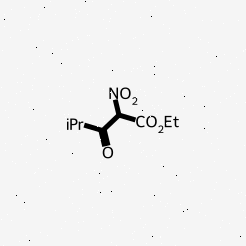 CCOC(=O)C(C(=O)C(C)C)[N+](=O)[O-]